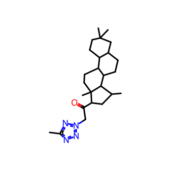 Cc1nnn(CC(=O)C2CC(C)C3C4CCC5CC(C)(C)CCC5C4CCC23C)n1